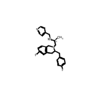 C[C@@H](CN1Cc2ccc(F)cc2CC1Cc1ccc(F)cc1)NCc1ccncc1